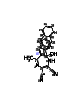 CC1=NC(C#N)=C(C#N)NC(O)(c2ccccc2)/C1=C\c1ccc2ccccc2c1